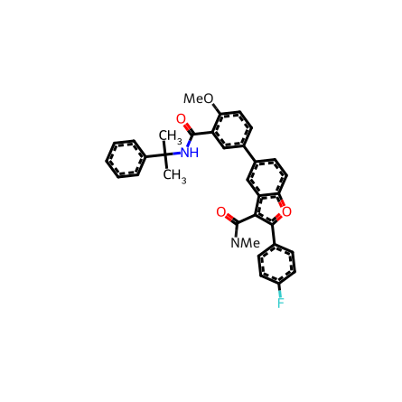 CNC(=O)c1c(-c2ccc(F)cc2)oc2ccc(-c3ccc(OC)c(C(=O)NC(C)(C)c4ccccc4)c3)cc12